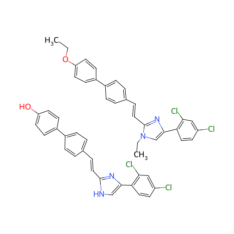 CCOc1ccc(-c2ccc(/C=C/c3nc(-c4ccc(Cl)cc4Cl)cn3CC)cc2)cc1.Oc1ccc(-c2ccc(/C=C/c3nc(-c4ccc(Cl)cc4Cl)c[nH]3)cc2)cc1